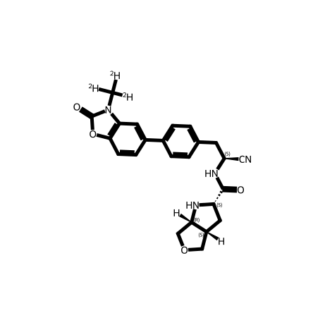 [2H]C([2H])([2H])n1c(=O)oc2ccc(-c3ccc(C[C@@H](C#N)NC(=O)[C@@H]4C[C@@H]5COC[C@@H]5N4)cc3)cc21